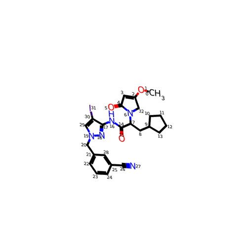 COC1=CC(=O)N(C(CC2CCCC2)C(=O)Nc2nn(Cc3cccc(C#N)c3)cc2I)C1